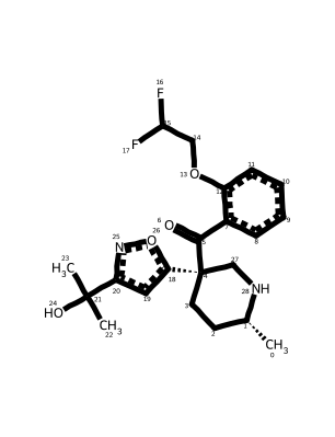 C[C@@H]1CC[C@](C(=O)c2ccccc2OCC(F)F)(c2cc(C(C)(C)O)no2)CN1